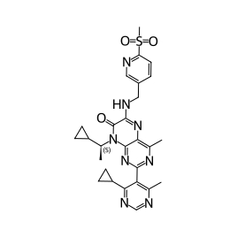 Cc1ncnc(C2CC2)c1-c1nc(C)c2nc(NCc3ccc(S(C)(=O)=O)nc3)c(=O)n([C@@H](C)C3CC3)c2n1